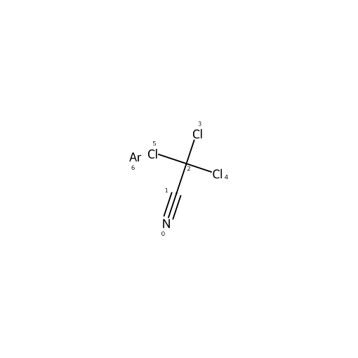 N#CC(Cl)(Cl)Cl.[Ar]